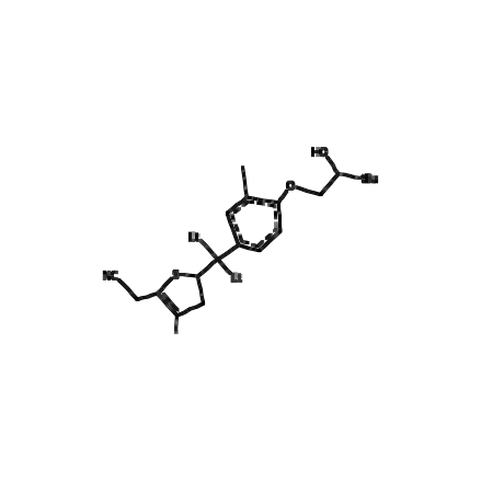 CCC(CC)(c1ccc(OCC(O)C(C)(C)C)c(C)c1)C1CC(C)=C(CC#N)S1